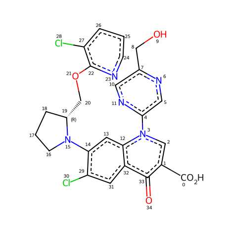 O=C(O)c1cn(-c2cnc(CO)cn2)c2cc(N3CCC[C@@H]3COc3ncccc3Cl)c(Cl)cc2c1=O